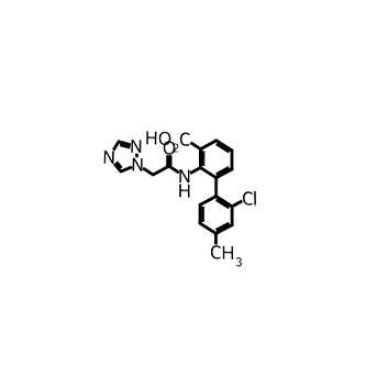 Cc1ccc(-c2cccc(C(=O)O)c2NC(=O)Cn2cncn2)c(Cl)c1